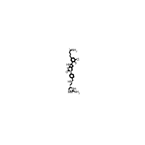 C[C@H](N)CCCc1cc(Cl)c(F)c(-c2cc3cn(-c4ccc(CNCC[C@@H](CO)NC(=N)N)cc4)c(=O)nc3[nH]2)c1